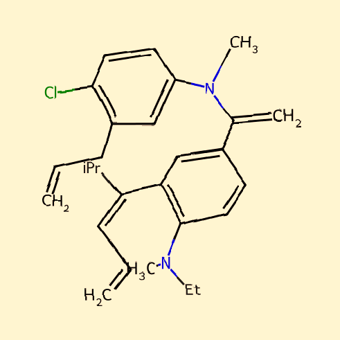 C=C/C=C(\c1cc(C(=C)N(C)c2ccc(Cl)c(CC=C)c2)ccc1N(C)CC)C(C)C